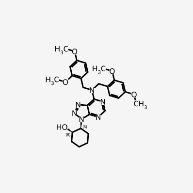 COc1ccc(CN(Cc2ccc(OC)cc2OC)c2ncnc3c2nnn3[C@H]2CCCC[C@H]2O)c(OC)c1